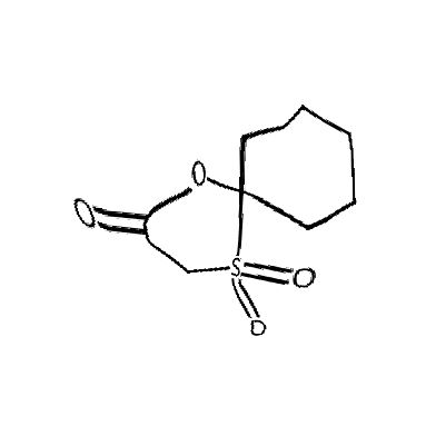 O=C1CS(=O)(=O)C2(CCCCC2)O1